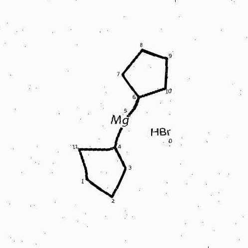 Br.C1CC[CH]([Mg][CH]2CCCC2)C1